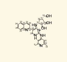 Cc1cc(NC2=NC(N[C@@H]3C[C@H](CO)[C@@H](O)[C@H]3O)=C(c3ccc4ccccc4n3)CN2)cc(C)n1